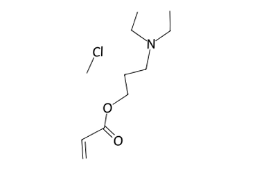 C=CC(=O)OCCCN(CC)CC.CCl